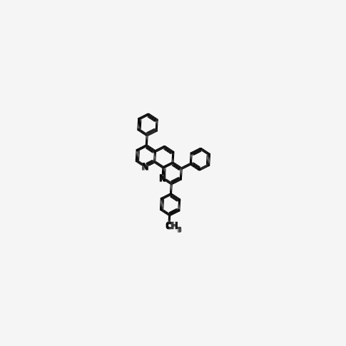 Cc1ccc(-c2cc(-c3ccccc3)c3ccc4c(-c5ccccc5)ccnc4c3n2)cc1